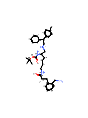 Cc1ccc(C(CNCC(CCCCNC(=O)[C@@H](C)Cc2ccccc2CN)NC(=O)OC(C)(C)C)C2C=CC=CC2)cc1